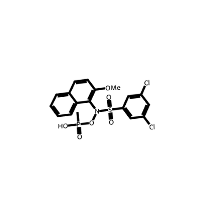 COc1ccc2ccccc2c1N(OP(C)(=O)O)S(=O)(=O)c1cc(Cl)cc(Cl)c1